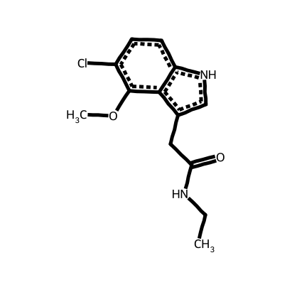 CCNC(=O)Cc1c[nH]c2ccc(Cl)c(OC)c12